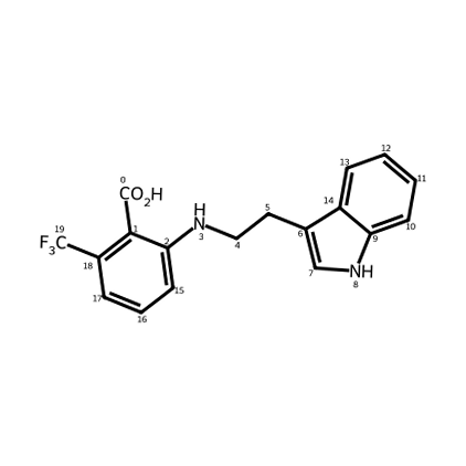 O=C(O)c1c(NCCc2c[nH]c3ccccc23)cccc1C(F)(F)F